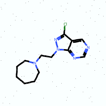 Clc1nn(CCN2CCCCCC2)c2ncncc12